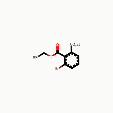 CCOC(=O)c1cccc(Br)c1C(=O)OCC(C)(C)C